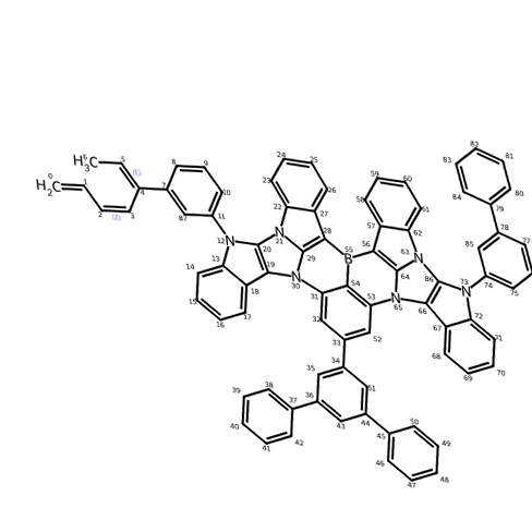 C=C/C=C\C(=C/C)c1cccc(-n2c3ccccc3c3c2n2c4ccccc4c4c2n3-c2cc(-c3cc(-c5ccccc5)cc(-c5ccccc5)c3)cc3c2B4c2c4ccccc4n4c2n-3c2c3ccccc3n(-c3cccc(-c5ccccc5)c3)c24)c1